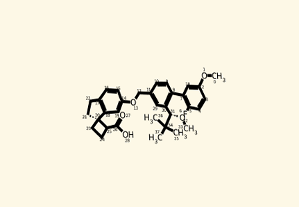 COc1ccc(F)c(-c2ccc(COc3ccc4c(c3)[C@]3(CC4)CCC3C(=O)O)cc2[C@H](OC)C(C)(C)C)c1